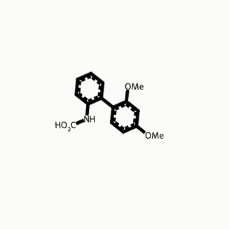 COc1ccc(-c2ccccc2NC(=O)O)c(OC)c1